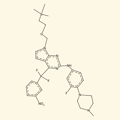 CN1CCN(c2ccc(Nc3nc(C(F)(F)c4cccc([N+](=O)[O-])c4)c4ccn(COCC[Si](C)(C)C)c4n3)cc2F)CC1